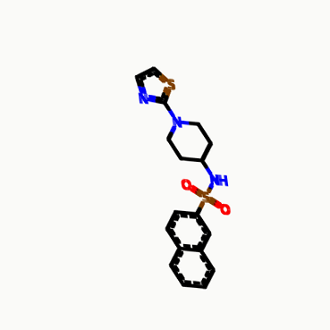 O=S(=O)(NC1CCN(c2nccs2)CC1)c1ccc2ccccc2c1